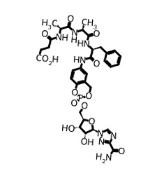 C[C@H](NC(=O)CCC(=O)O)C(=O)N[C@@H](C)C(=O)N[C@@H](Cc1ccccc1)C(=O)Nc1ccc2c(c1)COP(=O)(OC[C@H]1O[C@@H](n3cnc(C(N)=O)n3)[C@H](O)[C@@H]1O)O2